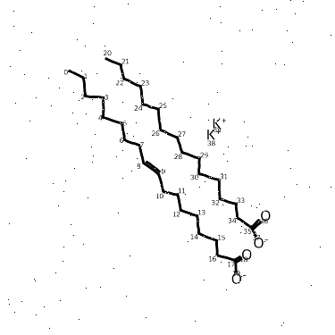 CCCCCCCCC=CCCCCCCCC(=O)[O-].CCCCCCCCCCCCCCCC(=O)[O-].[K+].[K+]